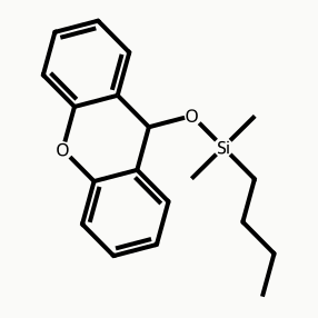 CCCC[Si](C)(C)OC1c2ccccc2Oc2ccccc21